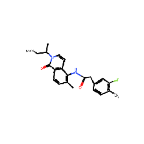 CNCC(C)n1ccc2c(NC(=O)Cc3ccc(C(F)(F)F)c(F)c3)c(C)ccc2c1=O